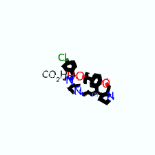 CC(C)(O)c1ccc2c(c1)/C(=C\CCN1CCC(N(CC(=O)O)Cc3ccc(Cl)cc3)C1)c1cccnc1CO2